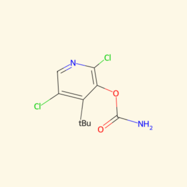 CC(C)(C)c1c(Cl)cnc(Cl)c1OC(N)=O